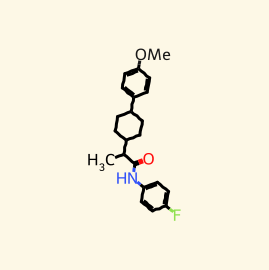 COc1ccc(C2CCC(C(C)C(=O)Nc3ccc(F)cc3)CC2)cc1